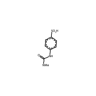 CNC(=O)Nc1ccc(S(=O)(=O)O)cc1